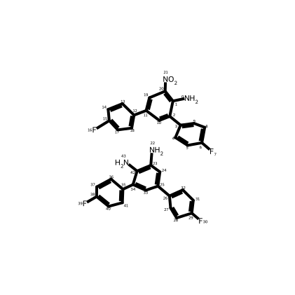 Nc1c(-c2ccc(F)cc2)cc(-c2ccc(F)cc2)cc1[N+](=O)[O-].Nc1cc(-c2ccc(F)cc2)cc(-c2ccc(F)cc2)c1N